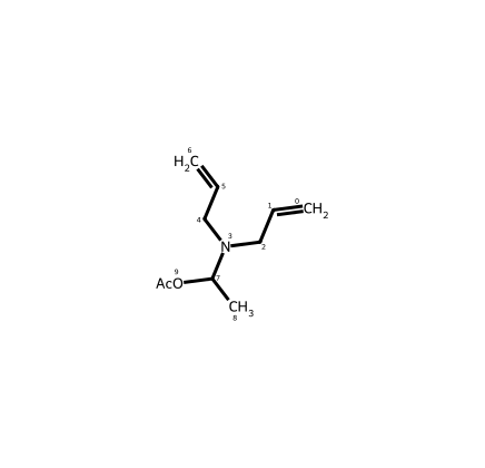 C=CCN(CC=C)C(C)OC(C)=O